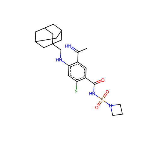 CC(=N)c1cc(C(=O)NS(=O)(=O)N2CCC2)c(F)cc1NCC12CC3CC(CC(C3)C1)C2